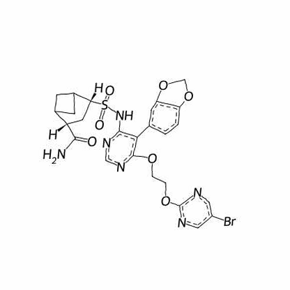 NC(=O)[C@H]1C[C@@H](S(=O)(=O)Nc2ncnc(OCCOc3ncc(Br)cn3)c2-c2ccc3c(c2)OCO3)C2CC1C2